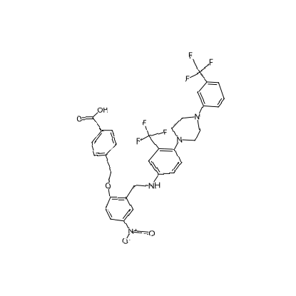 O=C(O)c1ccc(COc2ccc([N+](=O)[O-])cc2CNc2ccc(N3CCN(c4cccc(C(F)(F)F)c4)CC3)c(C(F)(F)F)c2)cc1